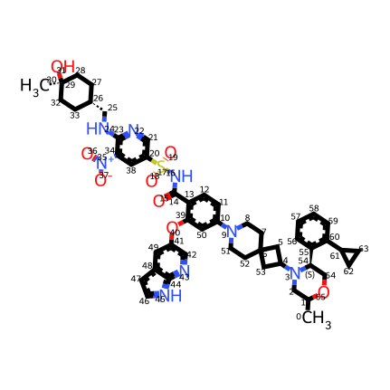 CC1CN(C2CC3(CCN(c4ccc(C(=O)NS(=O)(=O)c5cnc(NC[C@H]6CC[C@](C)(O)CC6)c([N+](=O)[O-])c5)c(Oc5cnc6[nH]ccc6c5)c4)CC3)C2)[C@@H](c2ccccc2C2CC2)CO1